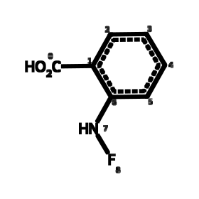 O=C(O)c1ccccc1NF